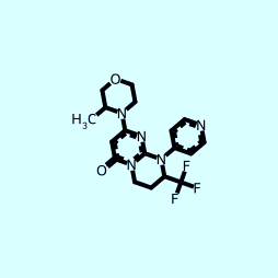 CC1COCCN1c1cc(=O)n2c(n1)N(c1ccncc1)C(C(F)(F)F)CC2